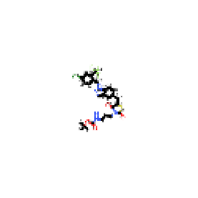 CC(C)(C)OC(=O)NCCCN1C(=O)SC(=Cc2ccc3c(cnn3Cc3ccc(Cl)cc3C(F)(F)F)c2)C1=O